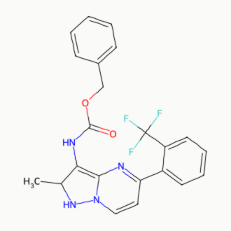 CC1NN2C=CC(c3ccccc3C(F)(F)F)=NC2=C1NC(=O)OCc1ccccc1